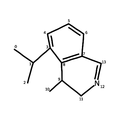 CC(C)c1cccc2c1C(C)CN=C2